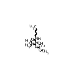 CCCCCNC(=O)N(C)/C(=N\C(=O)OC)N(C)C